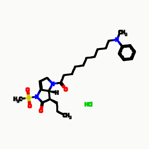 CCC[C@H]1C(=O)N(S(C)(=O)=O)C2=CCN(C(=O)CCCCCCCCCN(C)c3ccccc3)[C@@H]21.Cl